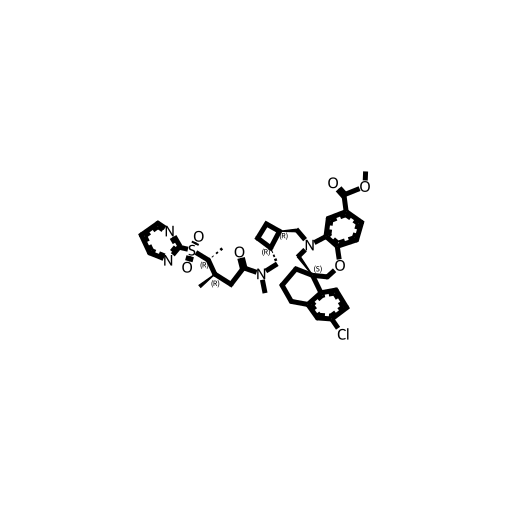 COC(=O)c1ccc2c(c1)N(C[C@@H]1CC[C@H]1CN(C)C(=O)C[C@@H](C)[C@@H](C)S(=O)(=O)c1ncccn1)C[C@@]1(CCCc3cc(Cl)ccc31)CO2